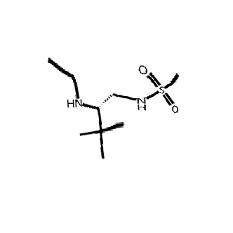 CCN[C@H](CNS(C)(=O)=O)C(C)(C)C